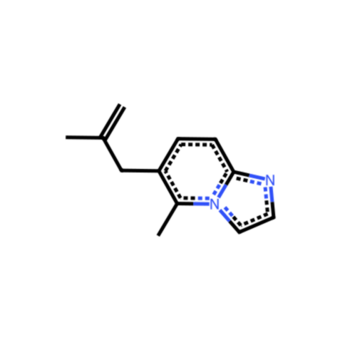 C=C(C)Cc1ccc2nccn2c1C